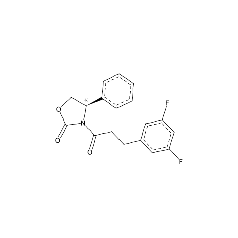 O=C(CCc1cc(F)cc(F)c1)N1C(=O)OC[C@H]1c1ccccc1